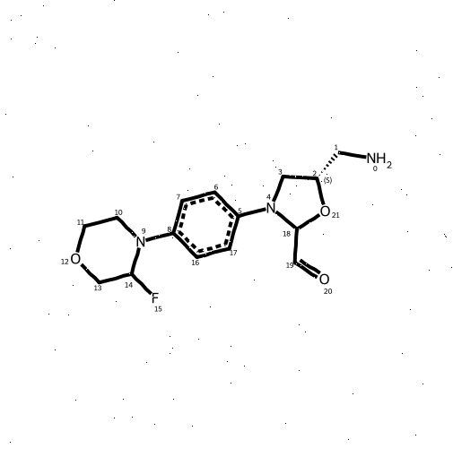 NC[C@H]1CN(c2ccc(N3CCOCC3F)cc2)C(C=O)O1